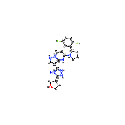 Fc1ccc(F)c([C@H]2CCCN2c2ccn3ncc(-c4nnc(C5CCOC5)[nH]4)c3n2)c1